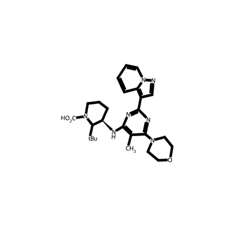 Cc1c(N[C@@H]2CCCN(C(=O)O)C2C(C)(C)C)nc(-c2cnn3ccccc23)nc1N1CCOCC1